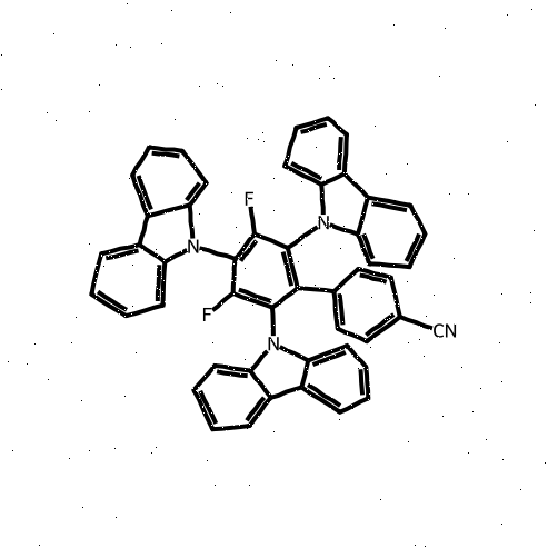 N#Cc1ccc(-c2c(-n3c4ccccc4c4ccccc43)c(F)c(-n3c4ccccc4c4ccccc43)c(F)c2-n2c3ccccc3c3ccccc32)cc1